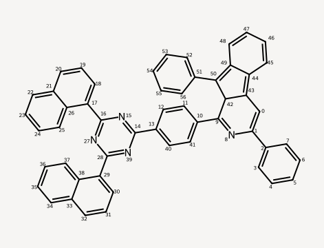 C1=C(c2ccccc2)N=C(c2ccc(-c3nc(-c4cccc5ccccc45)nc(-c4cccc5ccccc45)n3)cc2)C2C1=c1ccccc1=C2c1ccccc1